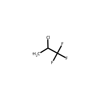 [CH2]C(Cl)C(F)(F)F